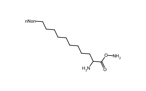 CCCCCCCCCCCCCCCCCCC(N)C(=O)ON